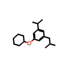 CC(C)Cc1cc(OC2CCCCC2)cc(C(C)C)c1